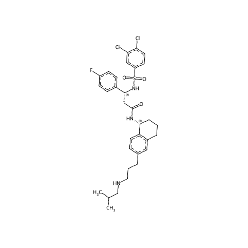 CC(C)CNCCCc1ccc2c(c1)CCC[C@H]2NC(=O)C[C@@H](NS(=O)(=O)c1ccc(Cl)c(Cl)c1)c1ccc(F)cc1